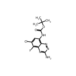 CC(C)(C)OC(=O)Nc1cc(Cl)c(F)c2nc(N)nnc12